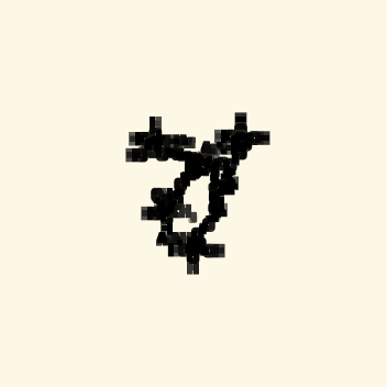 CC(=O)N[C@H]1[C@H](OCCOCCn2cc(CN(CCCCC(C(=O)C(C)(C)C)N(Cc3cn(CCOCCO[C@@H]4O[C@H](CO)[C@H](O)[C@H](O)[C@H]4C)nn3)Cc3cn(CCOCCO[C@@H]4O[C@H](CO)[C@H](O)[C@H](O)[C@H]4NC(C)=O)nn3)Cc3cn(CCOCCO[C@@H]4O[C@H](CO)[C@H](O)[C@H](O)[C@H]4NC(C)=O)nn3)nn2)O[C@H](CO)[C@H](O)[C@@H]1O